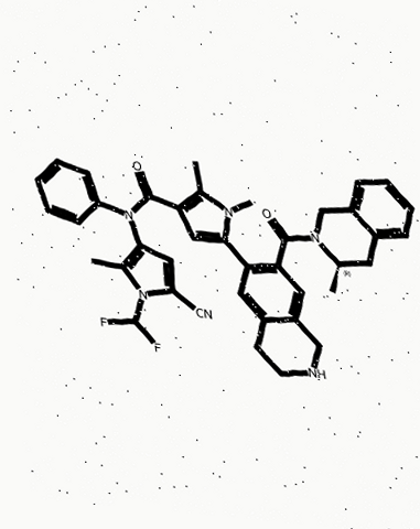 Cc1c(C(=O)N(c2ccccc2)c2cc(C#N)n(C(F)F)c2C)cc(-c2cc3c(cc2C(=O)N2Cc4ccccc4C[C@H]2C)CNCC3)n1C